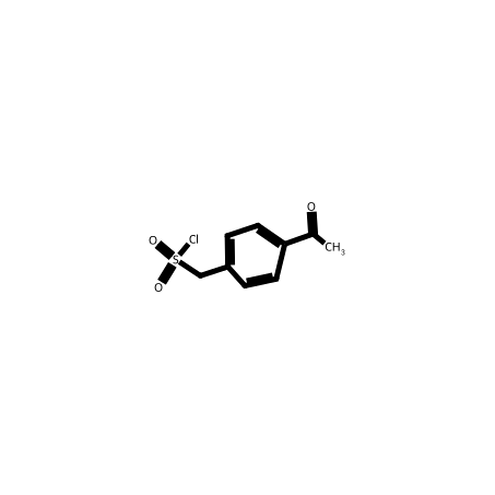 CC(=O)c1ccc(CS(=O)(=O)Cl)cc1